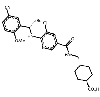 COc1ccc(C#N)cc1[C@@H](Nc1ncc(C(=O)NC[C@H]2CC[C@H](C(=O)O)CC2)cc1Cl)C(C)(C)C